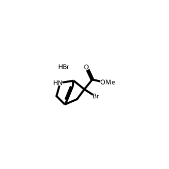 Br.COC(=O)C1(Br)CC2C=CC1NC2